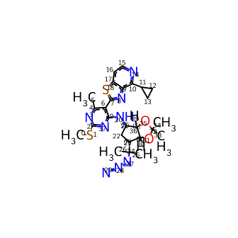 CSc1nc(C)c(-c2nc3c(C4CC4)nccc3s2)c(N[C@@H]2C[C@H](C(C)(C)N=[N+]=[N-])[C@H]3OC(C)(C)O[C@H]32)n1